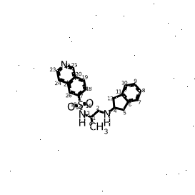 CC(CNC1Cc2ccccc2C1)NS(=O)(=O)c1ccc2cnccc2c1